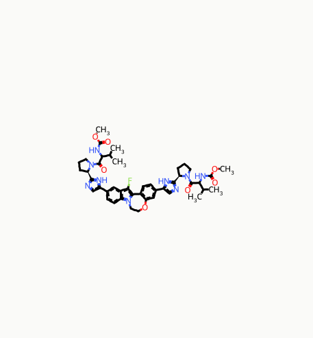 COC(=O)NC(C(=O)N1CCC[C@@H]1c1ncc(-c2ccc3c(c2)OCCn2c-3c(F)c3cc(-c4cnc([C@H]5CCCN5C(=O)C(NC(=O)OC)C(C)C)[nH]4)ccc32)[nH]1)C(C)C